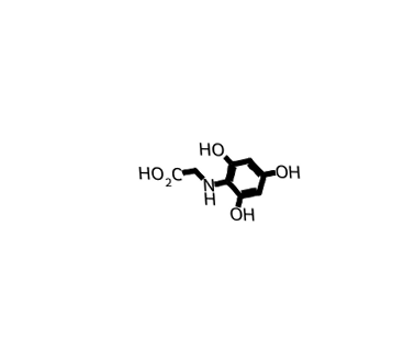 O=C(O)CNc1c(O)cc(O)cc1O